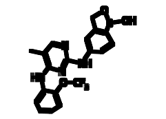 Cc1cnc(Nc2ccc3c(c2)COB3O)nc1Nc1ccccc1OC(F)(F)F